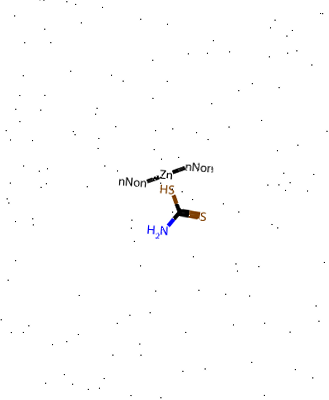 CCCCCCCC[CH2][Zn][CH2]CCCCCCCC.NC(=S)S